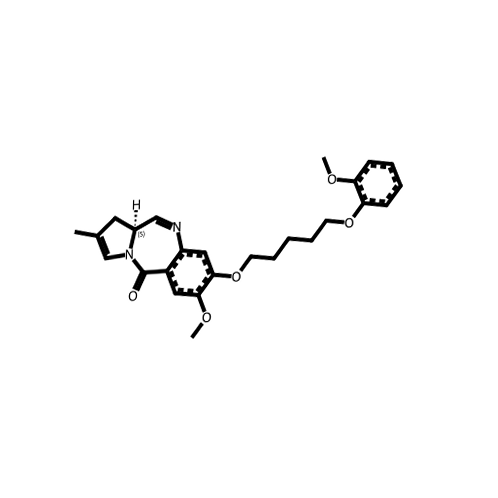 COc1ccccc1OCCCCCOc1cc2c(cc1OC)C(=O)N1C=C(C)C[C@H]1C=N2